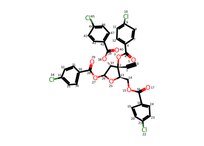 C#C[C@@]1(OC(=O)c2ccc(Cl)cc2)[C@@H](COC(=O)c2ccc(Cl)cc2)OC(OC(=O)c2ccc(Cl)cc2)[C@@H]1OC(=O)c1ccc(Cl)cc1